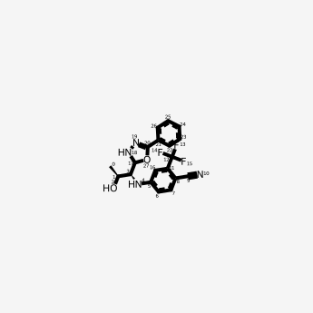 C[C@H](O)[C@@H](Nc1ccc(C#N)c(C(F)(F)F)c1)C1NN=C(c2ccccc2)O1